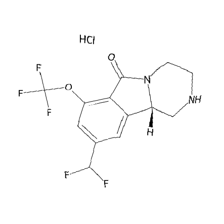 Cl.O=C1c2c(OC(F)(F)F)cc(C(F)F)cc2[C@H]2CNCCN12